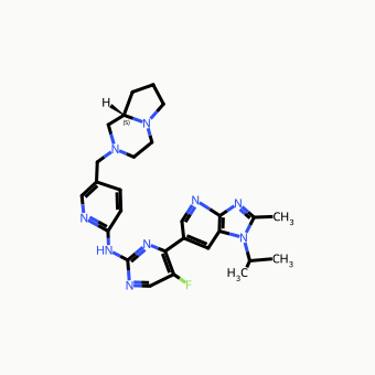 Cc1nc2ncc(-c3nc(Nc4ccc(CN5CCN6CCC[C@H]6C5)cn4)ncc3F)cc2n1C(C)C